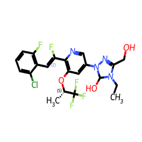 CCN1C(CO)=NN(c2cnc(/C(F)=C/c3c(F)cccc3Cl)c(O[C@@H](C)C(F)(F)F)c2)C1O